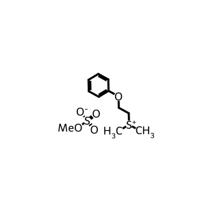 COS(=O)(=O)[O-].C[S+](C)CCOc1ccccc1